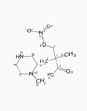 CC(C)(CO[N+](=O)[O-])C(=O)O.CN1CCNCC1